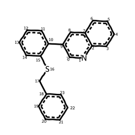 [c]1nc2ccccc2cc1-c1ccccc1SCc1ccccc1